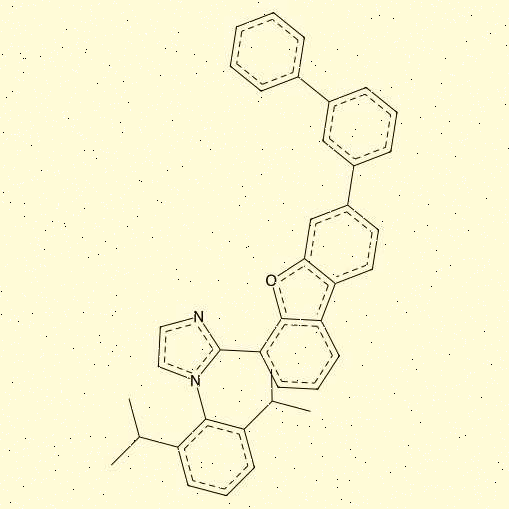 CC(C)c1cccc(C(C)C)c1-n1ccnc1-c1cccc2c1oc1cc(-c3cccc(-c4ccccc4)c3)ccc12